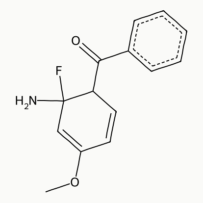 COC1=CC(N)(F)C(C(=O)c2ccccc2)C=C1